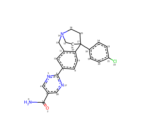 NC(=O)c1cnc(-c2ccc3c(c2)CN2CCC3(c3ccc(Cl)cc3)CC2)nc1